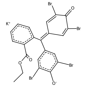 CCOC(=O)c1ccccc1C(=C1C=C(Br)C(=O)C(Br)=C1)c1cc(Br)c([O-])c(Br)c1.[K+]